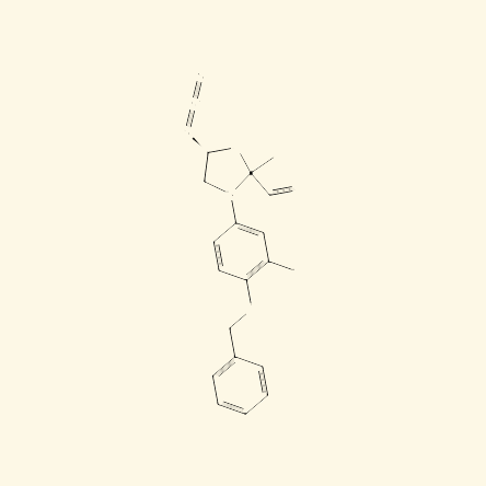 CC1(C=O)O[C@H](N=[N+]=[N-])CN1c1ccc(OCc2ccccc2)c(F)c1